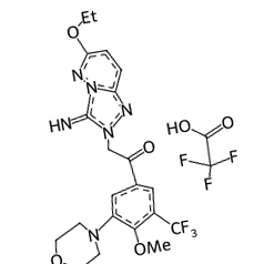 CCOc1ccc2nn(CC(=O)c3cc(N4CCOCC4)c(OC)c(C(F)(F)F)c3)c(=N)n2n1.O=C(O)C(F)(F)F